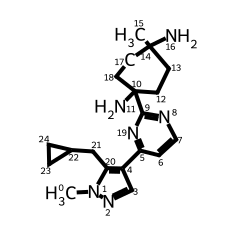 Cn1ncc(-c2ccnc(C3(N)CCC(C)(N)CC3)n2)c1CC1CC1